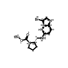 CC(C)(C)OC(=O)N1CCC[C@H]1CNc1ccc2ncc(Br)n2n1